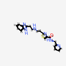 O=C(NCc1ccccn1)c1csc(CCNCCc2nc3ccccc3[nH]2)n1